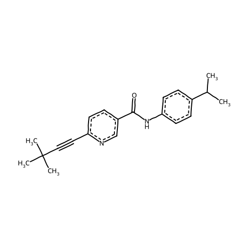 CC(C)c1ccc(NC(=O)c2ccc(C#CC(C)(C)C)nc2)cc1